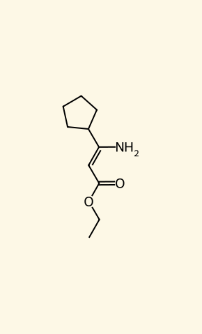 CCOC(=O)C=C(N)C1CCCC1